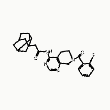 O=C(CC12CC3CC(CC(C3)C1)C2)Nc1ncnc2c1CCN(C(=O)c1ccccc1F)C2